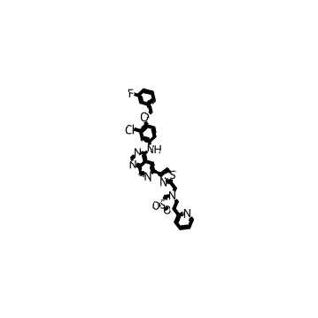 O=S(=O)=CN(CCc1ccccn1)Cc1nc(-c2cc3c(Nc4ccc(OCc5cccc(F)c5)c(Cl)c4)ncnc3cn2)cs1